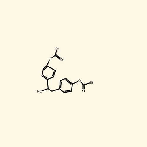 CCC(=O)Oc1ccc(CC(C#N)c2ccc(OC(=O)CC)cc2)cc1